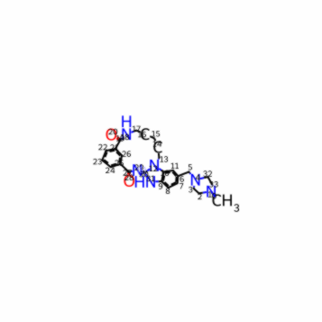 CN1CCN(Cc2ccc3c(c2)N2CCCCCNC(=O)c4cccc(c4)C(=O)/N=C/2N3)CC1